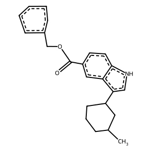 CC1CCCC(c2c[nH]c3ccc(C(=O)OCc4ccccc4)cc23)C1